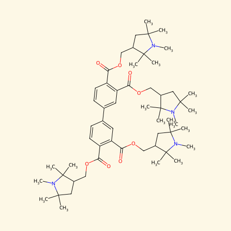 CN1C(C)(C)CC(COC(=O)c2ccc(-c3ccc(C(=O)OCC4CC(C)(C)N(C)C4(C)C)c(C(=O)OCC4CC(C)(C)N(C)C4(C)C)c3)cc2C(=O)OCC2CC(C)(C)N(C)C2(C)C)C1(C)C